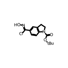 CC(C)(C)OC(=O)N1CCc2cc(C(Cl)=NO)ccc21